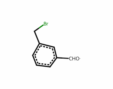 O=[C]c1cccc(CBr)c1